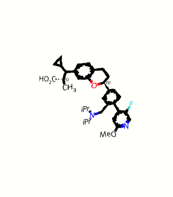 COc1cc(-c2ccc([C@@H]3CCc4ccc(C(C5CC5)[C@H](C)C(=O)O)cc4O3)cc2CN(C(C)C)C(C)C)c(F)cn1